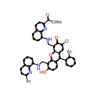 COC(=O)c1ccc2cccc(NCc3c4oc5c(CNc6cccc7ccc(C(C)=O)nc67)c(O)ccc5c(-c5ccccc5C(C)=O)c-4cc(Cl)c3=O)c2n1